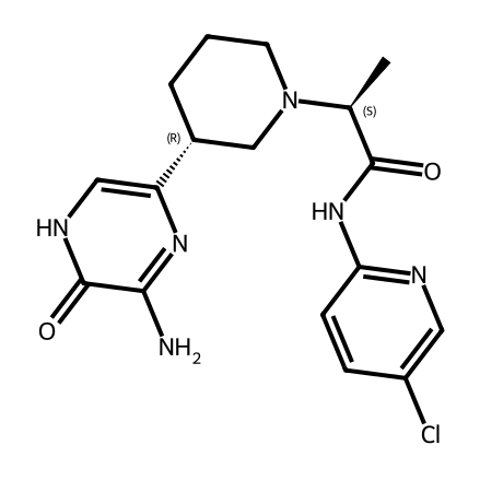 C[C@@H](C(=O)Nc1ccc(Cl)cn1)N1CCC[C@@H](c2c[nH]c(=O)c(N)n2)C1